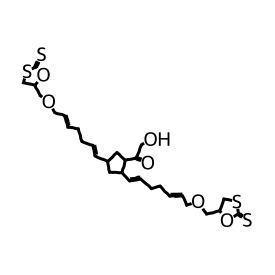 O=C(CO)C1CC(/C=C/CC/C=C/COCC2CSC(=S)O2)CC1/C=C/CC/C=C/COCC1CSC(=S)O1